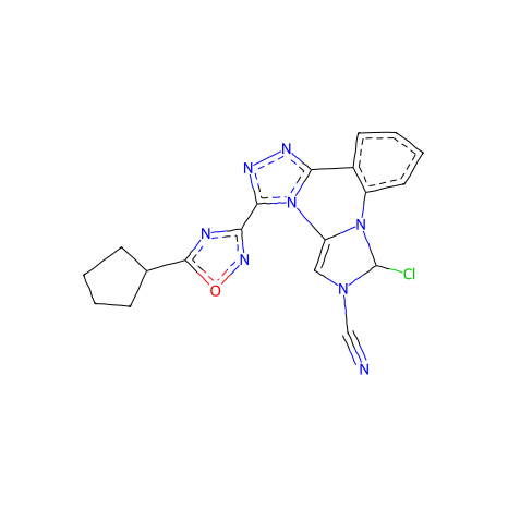 N#CN1C=C2N(c3ccccc3-c3nnc(-c4noc(C5CCCC5)n4)n32)C1Cl